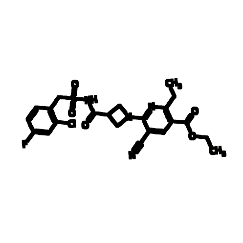 CCOC(=O)c1cc(C#N)c(N2CC(C(=O)NS(=O)(=O)Cc3ccc(F)cc3Cl)C2)nc1CC